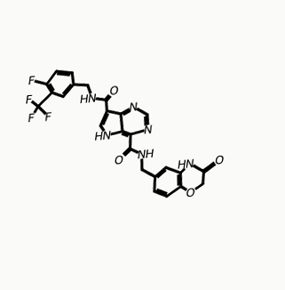 O=C1COc2ccc(CNC(=O)c3ncnc4c(C(=O)NCc5ccc(F)c(C(F)(F)F)c5)c[nH]c34)cc2N1